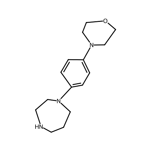 c1cc(N2CCOCC2)ccc1N1CCCNCC1